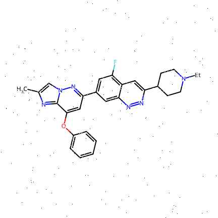 CCN1CCC(c2cc3c(F)cc(-c4cc(Oc5ccccc5)c5nc(C)cn5n4)cc3nn2)CC1